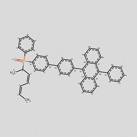 C/C=C\C=C/C(C)P(=O)(c1ccccc1)c1ccc(-c2ccc(-c3c4ccccc4c(-c4ccccc4)c4ccccc34)cc2)cc1